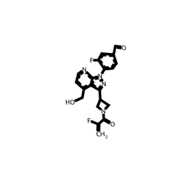 C=C(F)C(=O)N1CC(c2nn(-c3ccc(C=O)cc3F)c3nccc(CO)c23)C1